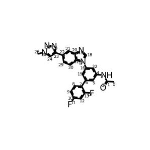 CC(=O)Nc1cc(-c2ccc(F)cc2F)cc(-n2cnc3cc(-c4cn(C)nn4)ccc32)c1